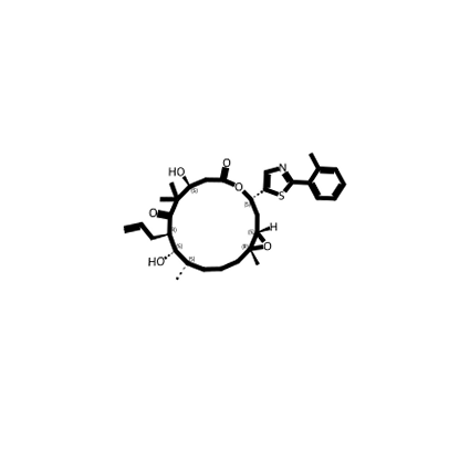 C=CC[C@H]1C(=O)C(C)(C)[C@@H](O)CC(=O)O[C@H](c2cnc(-c3ccccc3C)s2)C[C@@H]2O[C@]2(C)CCC[C@H](C)[C@@H]1O